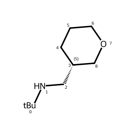 CC(C)(C)NC[C@@H]1CCCOC1